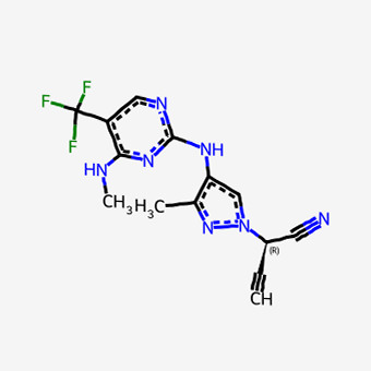 C#C[C@H](C#N)n1cc(Nc2ncc(C(F)(F)F)c(NC)n2)c(C)n1